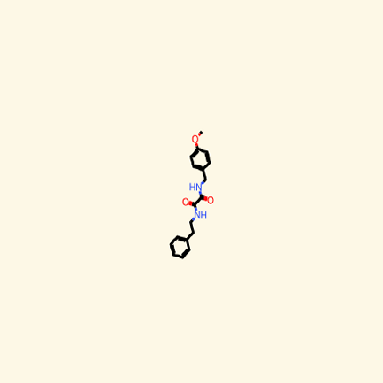 COc1ccc(CNC(=O)C(=O)NCCc2ccccc2)cc1